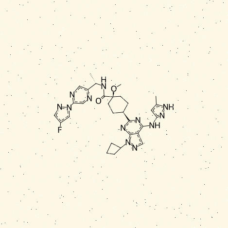 CO[C@]1(C(=O)N[C@@H](C)c2cnc(-n3cc(F)cn3)cn2)CC[C@H](c2nc(Nc3cc(C)[nH]n3)c3cnn(C4CCC4)c3n2)CC1